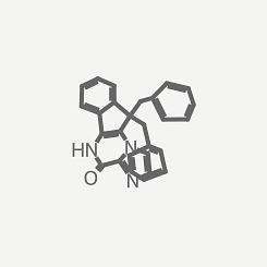 O=c1[nH]c2c(n3ccnc13)C(Cc1ccccc1)(Cc1ccccc1)c1ccccc1-2